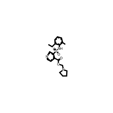 CCc1cccc(C)c1NS(=O)(=O)c1cnccc1C(=O)OCN1CCCC1